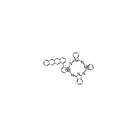 c1ccc2c(c1)-c1nc-2nc2[nH]c(nc3nc(nc4[nH]c(n1)c1ccccc41)-c1ccccc1-3)c1c(-c3cccc4cc5cc6ccccc6cc5cc34)cccc21